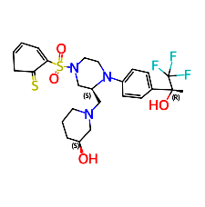 C[C@@](O)(c1ccc(N2CCN(S(=O)(=O)C3=CC=CCC3=S)C[C@@H]2CN2CCC[C@H](O)C2)cc1)C(F)(F)F